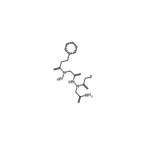 C=C(N)CN(NC(=C)CN(CCC)C(=C)CCc1ccccc1)C(=C)CF